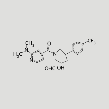 CN(C)c1cc(C(=O)N2CCCC(c3ccc(C(F)(F)F)cc3)C2)ccn1.O=CO